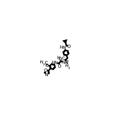 COc1cc(NC(=O)C(=O)NC(C)(C)Cc2ccc(NC(=O)C3CC3)cc2)ccc1-c1cnco1